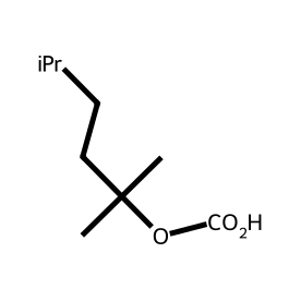 CC(C)CCC(C)(C)OC(=O)O